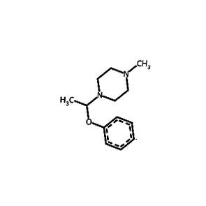 CC(Oc1cc[c]cc1)N1CCN(C)CC1